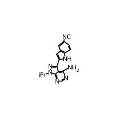 [C-]#[N+]c1ccc2[nH]c(-c3nn(C(C)C)c4ncnc(N)c34)cc2c1